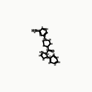 Nc1cncc(N2CCC(C(=O)N3N=CCC3c3ccccc3)CC2)n1